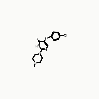 CN1CCN(c2ncc(Oc3ccc(Cl)cc3)c(=O)[nH]2)CC1